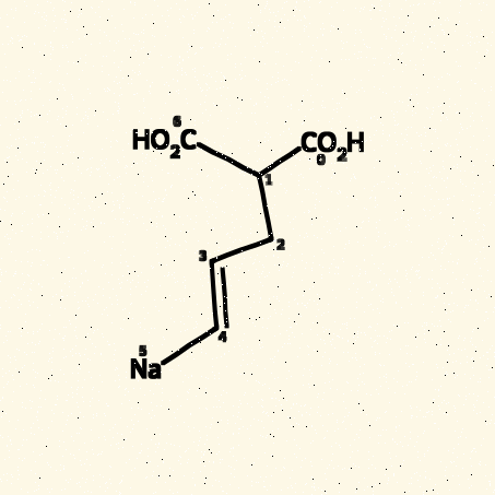 O=C(O)C(CC=[CH][Na])C(=O)O